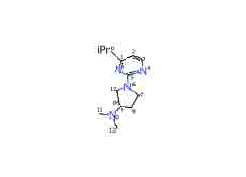 CC(C)c1ccnc(N2CC[C@@H](N(C)C)C2)n1